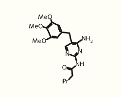 COc1cc(Cc2cnc(NC(=O)CC(C)C)nc2N)cc(OC)c1OC